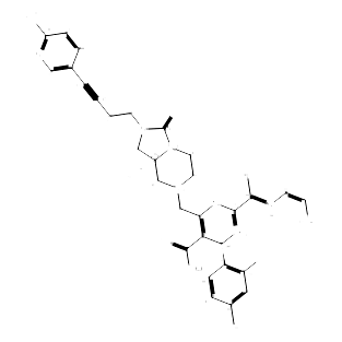 COC(=O)C1=C(CN2CCN3C(=O)N(CCC#Cc4ccc(C(C)=O)nc4)C[C@@H]3C2)NC(/C(C)=N/C=C\S)=N[C@H]1c1ccc(C)cc1Cl